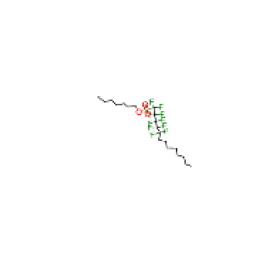 CCCCCCCCC(F)(F)C(F)(F)C(F)(F)C(F)(F)C(F)(F)S(=O)(=O)OCCCCCCC